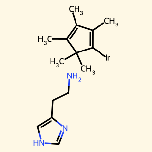 CC1=C(C)C(C)(C)[C]([Ir])=C1C.NCCc1c[nH]cn1